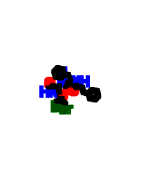 O=C(CCc1ccccc1)N[C@@H](Cc1ccccc1)C(=O)N[C@@H]1C(=O)N[C@@H]1OC(CBr)CBr